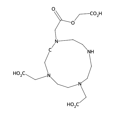 O=C(O)COC(=O)CN1CCNCCN(CC(=O)O)CCN(CC(=O)O)CC1